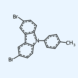 Cc1ccc(-n2c3ccc(Br)cc3c3cc(Br)ccc32)cc1